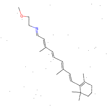 COCC/N=C/C=C(C)/C=C/C=C(C)/C=C/C1=C(C)CCCC1(C)C